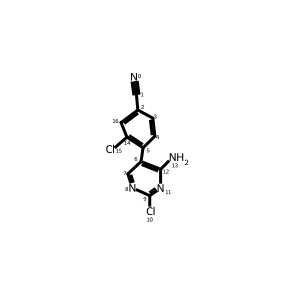 N#Cc1ccc(-c2cnc(Cl)nc2N)c(Cl)c1